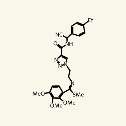 CCc1ccc(C(C#N)NC(=O)c2cn(CCN=C(SC)c3ccc(OC)c(OC)c3OC)nn2)cc1